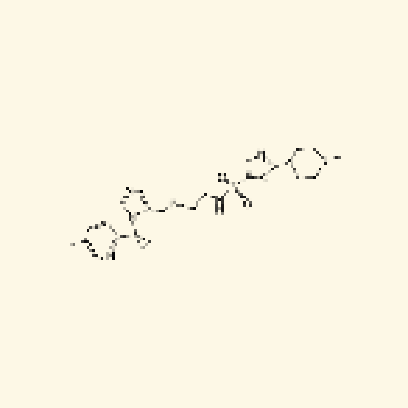 Cc1ccc(C2(n3cncc3CNCCNS(=O)(=O)c3cnc(N4CCN(C)CC4)s3)CC2)nc1